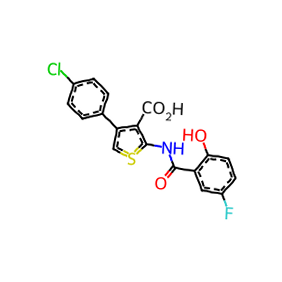 O=C(Nc1scc(-c2ccc(Cl)cc2)c1C(=O)O)c1cc(F)ccc1O